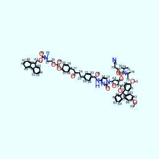 COc1ccc(C(OC[C@H]2O[C@@H](n3ccc(NC(=O)c4ccc(CCC(=O)Cc5ccc(OC(=O)OCCN(C)C(=O)OCC6c7ccccc7-c7ccccc76)cc5)cc4)nc3=O)CC2OP(OCCC#N)N(C(C)C)C(C)C)(c2ccccc2)c2ccc(OC)cc2)cc1